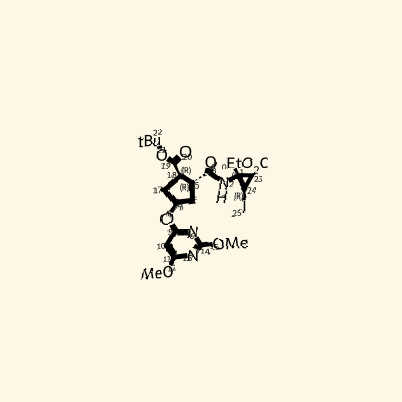 CCOC(=O)[C@@]1(NC(=O)[C@@H]2C[C@@H](Oc3cc(OC)nc(OC)n3)C[C@H]2C(=O)OC(C)(C)C)C[C@H]1I